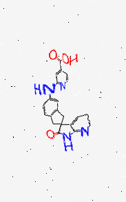 O=C(O)c1ccnc(Nc2ccc3c(c2)CC2(C3)C(=O)Nc3ncccc32)c1